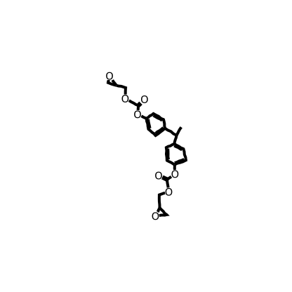 CC(c1ccc(OC(=O)OCC2CO2)cc1)c1ccc(OC(=O)OCC2CO2)cc1